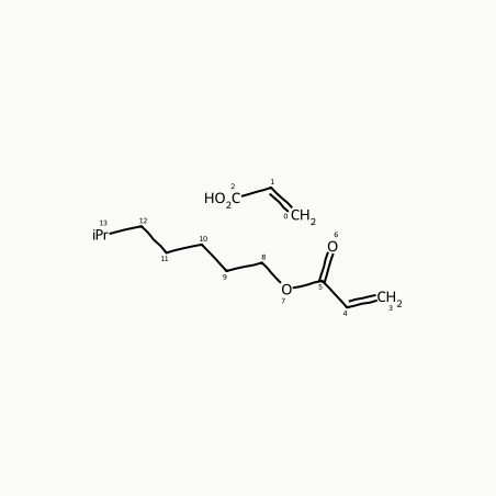 C=CC(=O)O.C=CC(=O)OCCCCCC(C)C